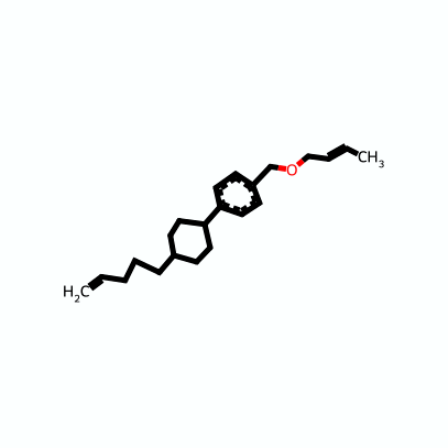 C=CCCCC1CCC(c2ccc(COCC=CC)cc2)CC1